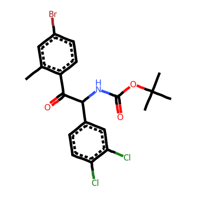 Cc1cc(Br)ccc1C(=O)C(NC(=O)OC(C)(C)C)c1ccc(Cl)c(Cl)c1